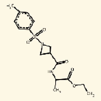 CCOC(=O)C(C)NC(=O)C1CN(S(=O)(=O)c2ccc(C)cc2)C1